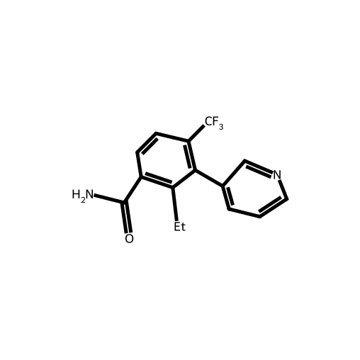 CCc1c(C(N)=O)ccc(C(F)(F)F)c1-c1cccnc1